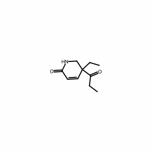 CCC(=O)C1(CC)C=CC(=O)NC1